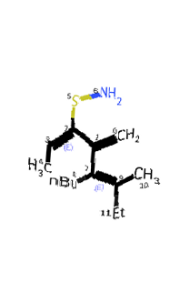 C=C(/C(=C\C)SN)/C(CCCC)=C(\C)CC